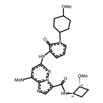 CNc1cc(Nc2cccn(C3CCC(OC)CC3)c2=O)nn2c(C(=O)N[C@@H]3CC[C@H]3OC)cnc12